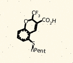 CCCCCSc1cccc2c1C=C(C(=O)O)C(C(F)(F)F)O2